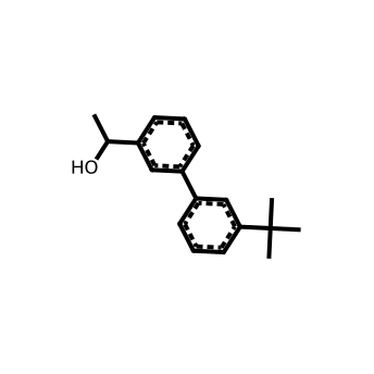 CC(O)c1cccc(-c2cccc(C(C)(C)C)c2)c1